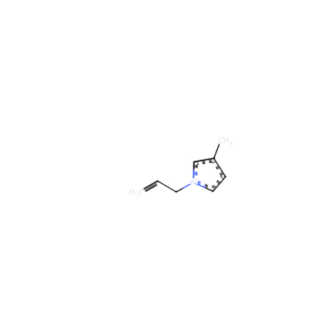 C=C[CH]n1ccc(C)c1